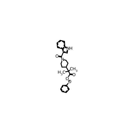 CC(C)(C(=O)OOc1ccccc1)C1CCN(C(=O)c2c[nH]c3ccccc23)CC1